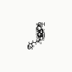 C[C@H](CCCC1CCOCC1)[C@H]1CC[C@H]2[C@@H]3CC=C4C[C@@](C)(O)CC[C@]4(C)[C@H]3CC[C@]12C